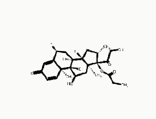 CCC(=O)O[C@]1(C(=O)CO)[C@@H](C)C[C@H]2[C@@H]3C[C@H](F)C4=CC(=O)C=C[C@]4(C)[C@@]3(Cl)C(O)C[C@@]21C